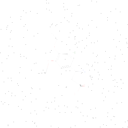 CCOc1ccc(C(N)CC(=O)O)cc1OCC.Cl